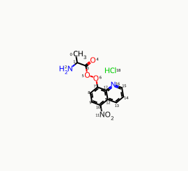 CC(N)C(=O)OOc1ccc([N+](=O)[O-])c2cccnc12.Cl